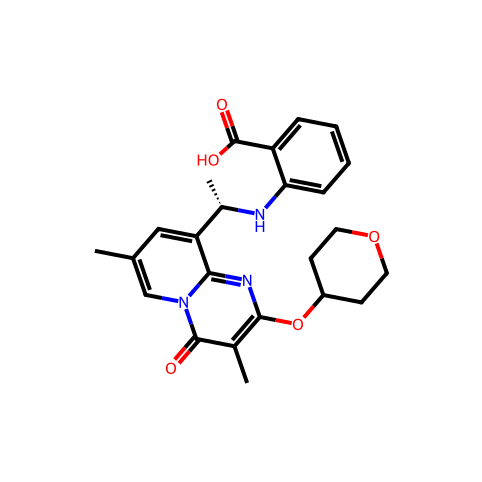 Cc1cc([C@H](C)Nc2ccccc2C(=O)O)c2nc(OC3CCOCC3)c(C)c(=O)n2c1